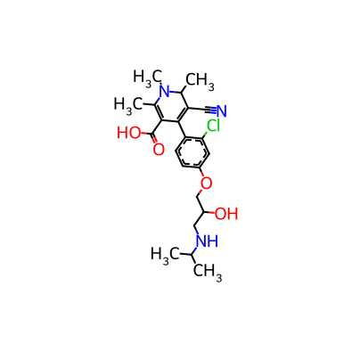 CC1=C(C(=O)O)C(c2ccc(OCC(O)CNC(C)C)cc2Cl)=C(C#N)C(C)N1C